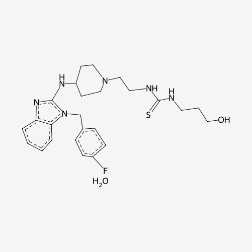 O.OCCCNC(=S)NCCN1CCC(Nc2nc3ccccc3n2Cc2ccc(F)cc2)CC1